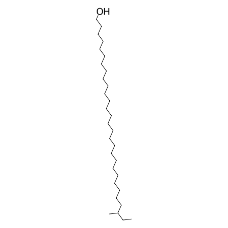 CCC(C)CCCCCCCCCCCCCCCCCCCCCCCCCCO